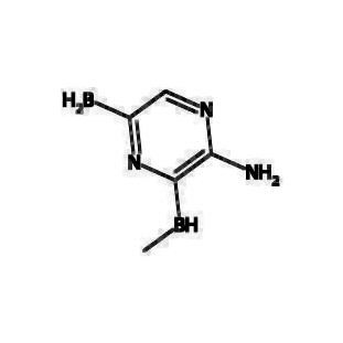 Bc1cnc(N)c(BC)n1